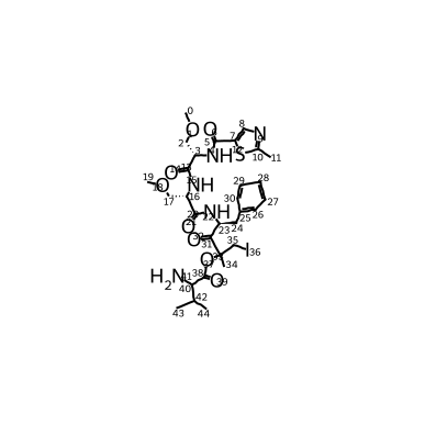 COC[C@H](NC(=O)c1cnc(C)s1)C(=O)N[C@@H](COC)C(=O)N[C@@H](Cc1ccccc1)C(=O)C(C)(CI)OC(=O)C(N)C(C)C